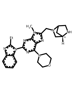 CCc1nc2ccccc2n1-c1nc(N2CCOCC2)c2nc(CN3C[C@@H]4CC3CN4)n(C)c2n1